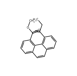 CCC(=O)c1cccc2ccc3cccc(C(=O)OC)c3c12